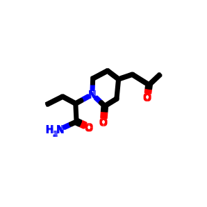 CCC(C(N)=O)N1CCC(CC(C)=O)CC1=O